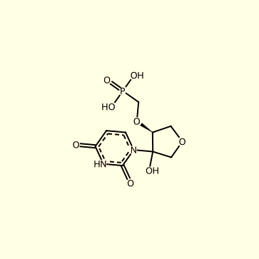 O=c1ccn(C2(O)COC[C@@H]2OCP(=O)(O)O)c(=O)[nH]1